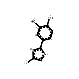 Oc1ccc(-c2ncc(Br)s2)cc1O